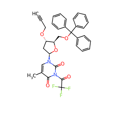 C#CCO[C@H]1C[C@H](n2cc(C)c(=O)n(C(=O)C(F)(F)F)c2=O)O[C@@H]1COC(c1ccccc1)(c1ccccc1)c1ccccc1